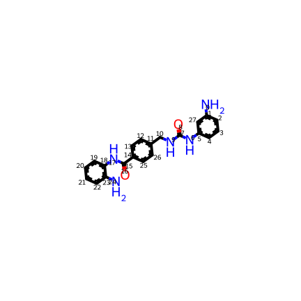 Nc1cccc(NC(=O)NCc2ccc(C(=O)Nc3ccccc3N)cc2)c1